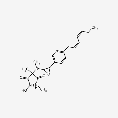 CC/C=C\C=C/Cc1ccc(C2OC2N(C)C(C)(C(=O)NC)C(=O)NO)cc1